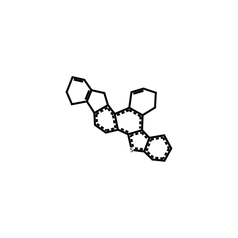 C1=CC2=C(CC1)c1ccc3c(c4c(c5c6ccccc6sc35)CCC=C4)c1C2